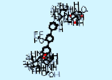 [2H]C([2H])([2H])C([2H])(C([2H])([2H])[2H])[C@]([2H])(NC(=O)O)C(=O)N1C([2H])([2H])C([2H])([2H])C([2H])([2H])[C@]1([2H])c1nc2ccc(-c3ccc(-c4ccc5nc([C@]6([2H])N(C(=O)[C@@]([2H])(NC(=O)OC)C([2H])(C([2H])([2H])[2H])C([2H])([2H])[2H])C([2H])([2H])C([2H])([2H])C6([2H])[2H])[nH]c5c4)cc3OC(F)(F)F)cc2[nH]1